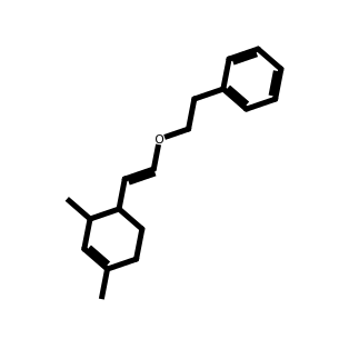 CC1=CC(C)C(C=COCCc2ccccc2)CC1